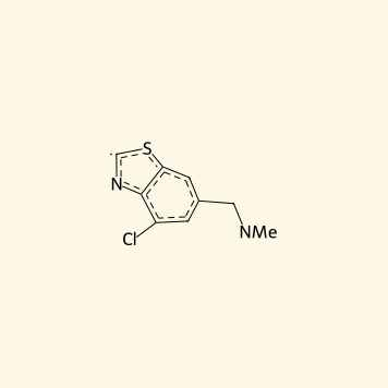 CNCc1cc(Cl)c2n[c]sc2c1